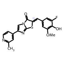 COc1cc(/C=c2\sc3nc(-c4ccnc(C)c4)cn3c2=O)cc(F)c1O